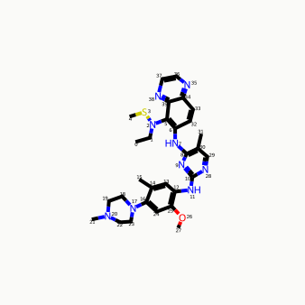 CCN(SC)c1c(Nc2nc(Nc3cc(C)c(N4CCN(C)CC4)cc3OC)ncc2C)ccc2nccnc12